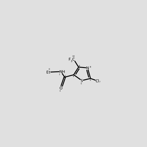 CCNC(=O)c1sc(Cl)nc1C(F)(F)F